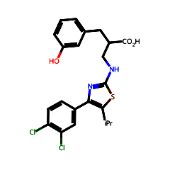 CC(C)c1sc(NCC(Cc2cccc(O)c2)C(=O)O)nc1-c1ccc(Cl)c(Cl)c1